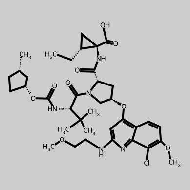 CC[C@@H]1C[C@]1(NC(=O)[C@@H]1C[C@@H](Oc2cc(NCCOC)nc3c(Cl)c(OC)ccc23)CN1C(=O)[C@@H](NC(=O)O[C@@H]1CC[C@H](C)C1)C(C)(C)C)C(=O)O